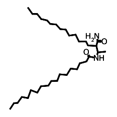 CCCCCCCCCCCCCCCCCC(=O)NC(C)C(CCCCCCCCCCCCCC)C(N)=O